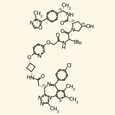 Cc1ncoc1-c1ccc([C@H](C)NC(=O)[C@@H]2C[C@@H](O)CN2C(=O)C(NC(=O)COc2ccc(O[C@H]3C[C@@H](NC(=O)C[C@@H]4N=C(c5ccc(Cl)cc5)c5c(sc(C)c5C)-n5c(C)nnc54)C3)nc2)C(C)(C)C)cc1